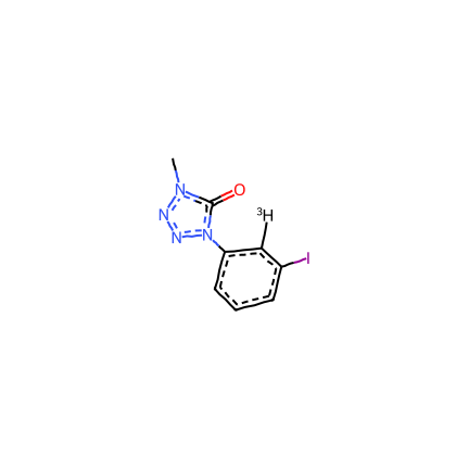 [3H]c1c(I)cccc1-n1nnn(C)c1=O